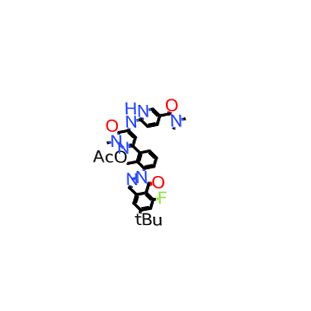 CC(=O)OCc1c(-c2cc(Nc3ccc(C(=O)N(C)C)cn3)c(=O)n(C)n2)cccc1-n1ncc2cc(C(C)(C)C)cc(F)c2c1=O